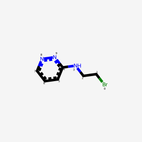 BrCCNc1cccnn1